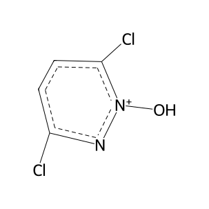 O[n+]1nc(Cl)ccc1Cl